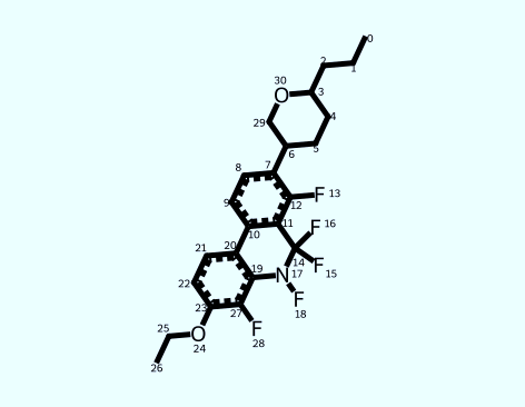 CCCC1CCC(c2ccc3c(c2F)C(F)(F)N(F)c2c-3ccc(OCC)c2F)CO1